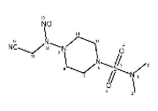 CN(C)S(=O)(=O)N1CCN(N(CC#N)N=O)CC1